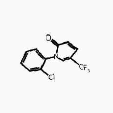 O=c1ccc(C(F)(F)F)cn1-c1ccccc1Cl